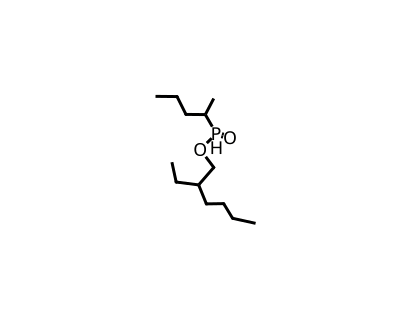 CCCCC(CC)CO[PH](=O)C(C)CCC